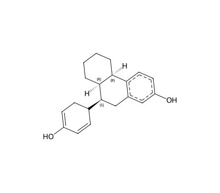 OC1=CCC([C@@H]2Cc3cc(O)ccc3[C@@H]3CCCC[C@@H]32)C=C1